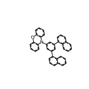 c1ccc2c(c1)Oc1ccccc1N2c1cc(-c2cccc3ccccc23)cc(-c2cccc3ccccc23)c1